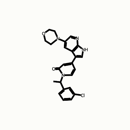 CC(c1cccc(Cl)c1)n1ccc(-c2c[nH]c3ncc(N4CCOCC4)cc23)cc1=O